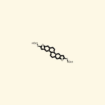 CCCCCCCCSc1cc2cc3c(ccc4c5cc6cc(SCCCCCCCC)oc6cc5ccc34)cc2o1